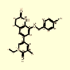 CCn1cc(-c2cc3c(c(OCc4ccc(F)cn4)c2)NC(=O)CC3)cc(C)c1=O